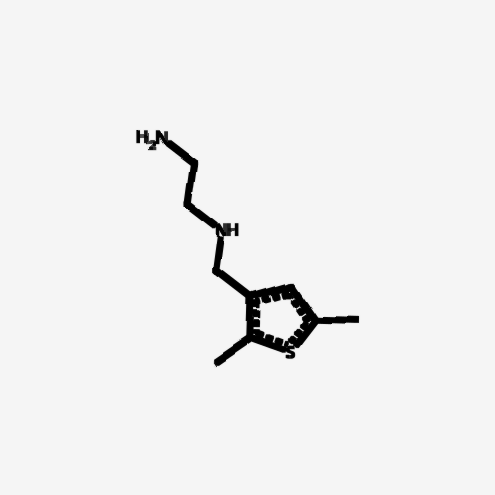 Cc1cc(CNCCN)c(C)s1